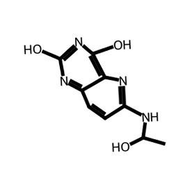 CC(O)Nc1ccc2nc(O)nc(O)c2n1